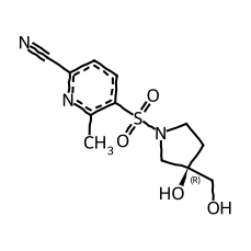 Cc1nc(C#N)ccc1S(=O)(=O)N1CC[C@](O)(CO)C1